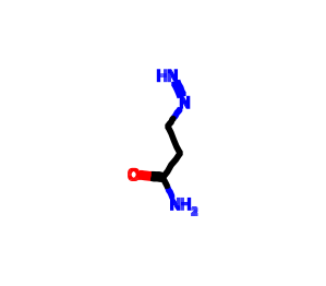 N=NCCC(N)=O